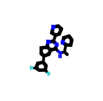 CC(Nc1nc(-c2cccnc2)nc2ccc(-c3cc(F)cc(F)c3)cc12)c1ccccn1